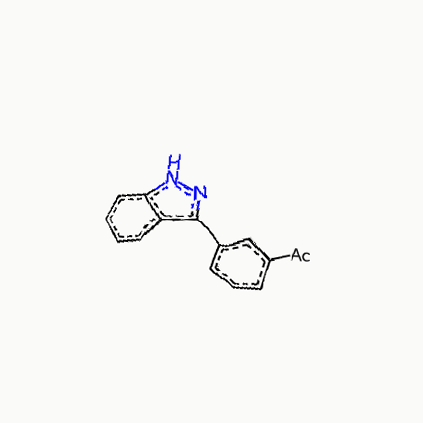 CC(=O)c1cccc(-c2n[nH]c3ccccc23)c1